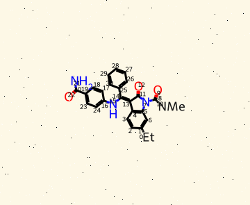 CCc1ccc2c(c1)N(C(=O)NC)C(=O)C2=C(Nc1ccc(C(N)=O)cc1)c1ccccc1